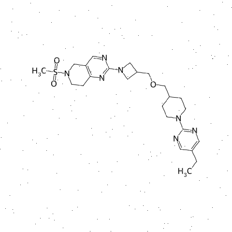 CCc1cnc(N2CCC(COCC3CN(c4ncc5c(n4)CCN(S(C)(=O)=O)C5)C3)CC2)nc1